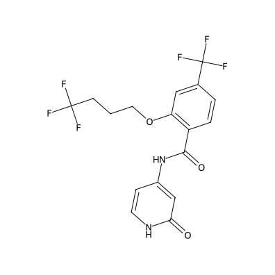 O=C(Nc1cc[nH]c(=O)c1)c1ccc(C(F)(F)F)cc1OCCCC(F)(F)F